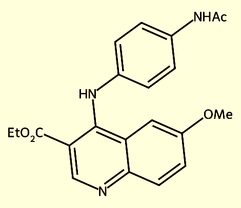 CCOC(=O)c1cnc2ccc(OC)cc2c1Nc1ccc(NC(C)=O)cc1